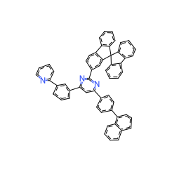 c1ccc(-c2cccc(-c3cc(-c4ccc(-c5cccc6ccccc56)cc4)nc(-c4ccc5c(c4)C4(c6ccccc6-c6ccccc64)c4ccccc4-5)n3)c2)nc1